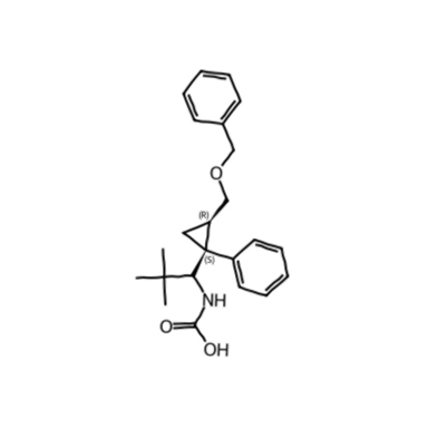 CC(C)(C)C(NC(=O)O)[C@@]1(c2ccccc2)C[C@H]1COCc1ccccc1